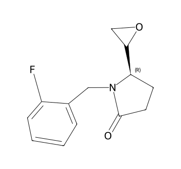 O=C1CC[C@H](C2CO2)N1Cc1ccccc1F